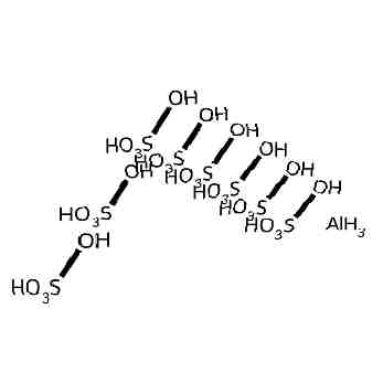 O=S(=O)(O)O.O=S(=O)(O)O.O=S(=O)(O)O.O=S(=O)(O)O.O=S(=O)(O)O.O=S(=O)(O)O.O=S(=O)(O)O.O=S(=O)(O)O.[AlH3]